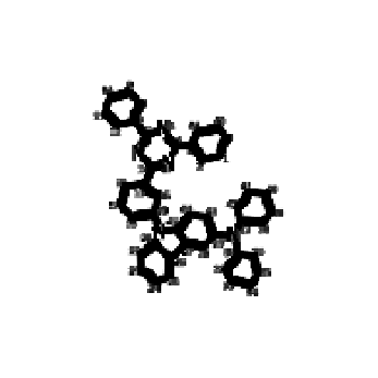 c1ccc(-c2nc(-c3ccccc3)nc(-c3cccc(-n4c5ccccc5c5cc(N(c6ccccc6)c6ccccc6)ccc54)c3)n2)cc1